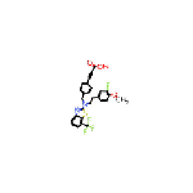 COc1ccc(CCN(Cc2ccc(C#CC(=O)O)cc2)c2nc3cccc(C(F)(F)F)c3s2)cc1F